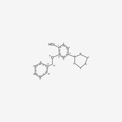 Oc1ccc(C2CCCCC2)cc1OCc1ccccc1